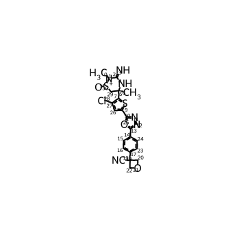 CN1C(=N)N[C@](C)(c2sc(-c3nnc(-c4ccc(C5(C#N)COC5)cc4)o3)cc2Cl)C[S+]1[O-]